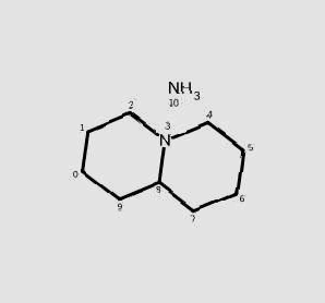 C1CCN2CCCCC2C1.N